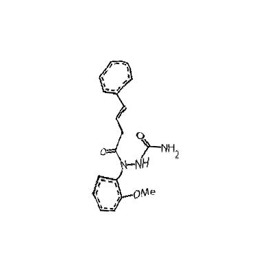 COc1ccccc1N(NC(N)=O)C(=O)CC=Cc1ccccc1